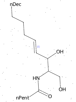 CCCCCCCCCCCCC/C=C/C(O)C(CO)NC(=O)CCCCC